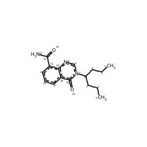 CCCC(CCC)n1cnc2c(C(N)=O)cccc2c1=O